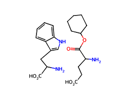 NC(CCC(=O)O)C(=O)OC1CCCCC1.NC(Cc1c[nH]c2ccccc12)C(=O)O